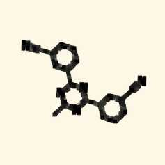 Cc1nc(-c2cccc(C#N)c2)nc(-c2cccc(C#N)c2)n1